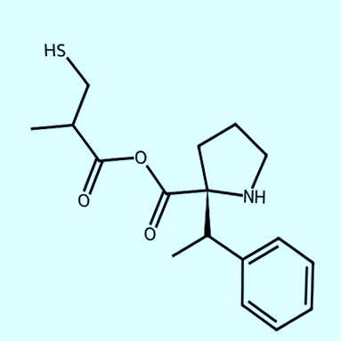 CC(CS)C(=O)OC(=O)[C@]1(C(C)c2ccccc2)CCCN1